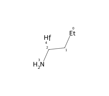 CCCCN.[Hf]